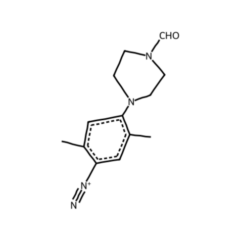 Cc1cc(N2CCN(C=O)CC2)c(C)cc1[N+]#N